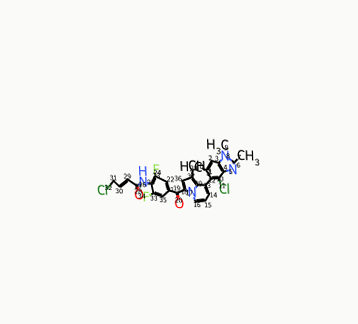 Cc1cc2c(nc(C)n2C)c(Cl)c1-c1cccn2c(C(=O)c3cc(F)c(NC(=O)/C=C/CCl)c(F)c3)cc(C)c12